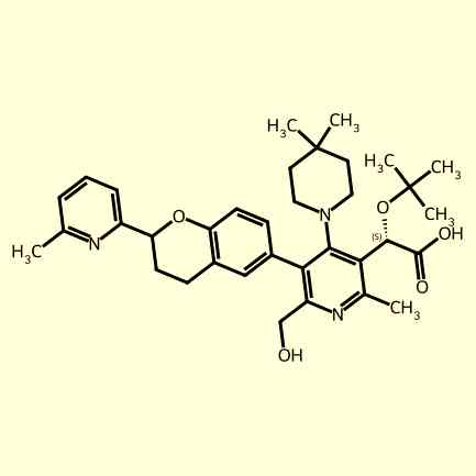 Cc1cccc(C2CCc3cc(-c4c(CO)nc(C)c([C@H](OC(C)(C)C)C(=O)O)c4N4CCC(C)(C)CC4)ccc3O2)n1